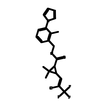 Cc1c(COC(=O)C2C(C=C(Cl)C(F)(F)F)C2(C)C)cccc1-n1cccc1